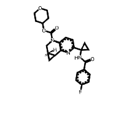 O=C(NC1(c2ccc3c(n2)C2C[C@@H]2CN3C(=O)OC2CCOCC2)CC1)c1ccc(F)cc1